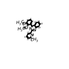 COc1cccc(-c2nc(-c3cccc(C)n3)nc3ccccc23)c1OC